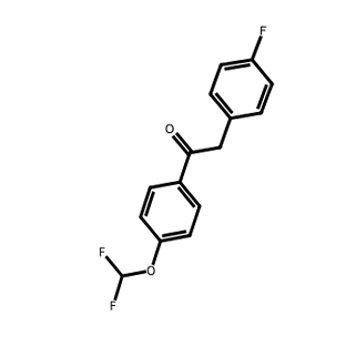 O=C(Cc1ccc(F)cc1)c1ccc(OC(F)F)cc1